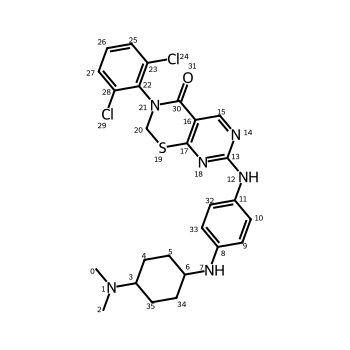 CN(C)C1CCC(Nc2ccc(Nc3ncc4c(n3)SCN(c3c(Cl)cccc3Cl)C4=O)cc2)CC1